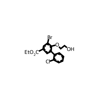 CCOC(=O)c1cc(Br)c(OCCO)c(-c2ccccc2Cl)c1